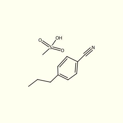 CCCc1ccc(C#N)cc1.CS(=O)(=O)O